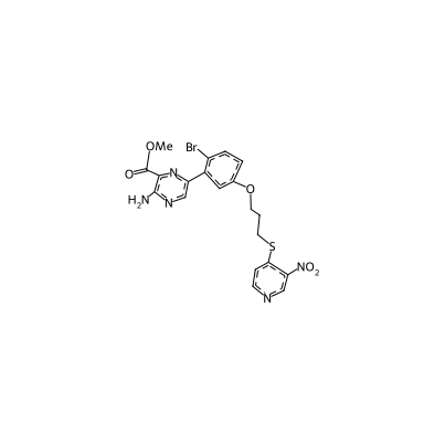 COC(=O)c1nc(-c2cc(OCCCSc3ccncc3[N+](=O)[O-])ccc2Br)cnc1N